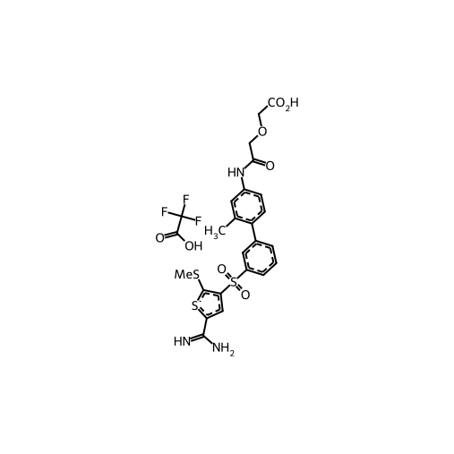 CSc1sc(C(=N)N)cc1S(=O)(=O)c1cccc(-c2ccc(NC(=O)COCC(=O)O)cc2C)c1.O=C(O)C(F)(F)F